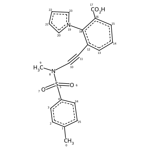 Cc1ccc(S(=O)(=O)N(C)C#Cc2cccc(C(=O)O)c2-n2cccc2)cc1